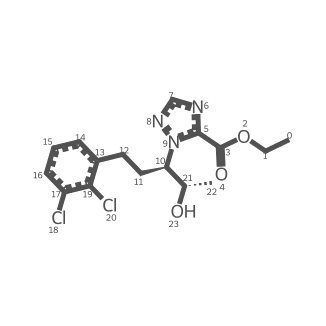 CCOC(=O)c1ncnn1[C@H](CCc1cccc(Cl)c1Cl)[C@H](C)O